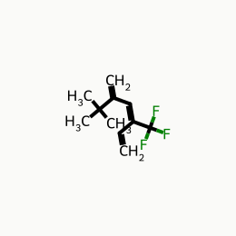 C=C/C(=C\C(=C)C(C)(C)C)C(F)(F)F